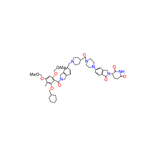 COCOc1cc(OCOC)c(C(=O)N2Cc3ccc(CN4CCC(C(=O)N5CCN(c6ccc7c(c6)CN(C6CCC(=O)NC6=O)C7=O)CC5)CC4)cc3C2)c(OCC2CCCCC2)c1C